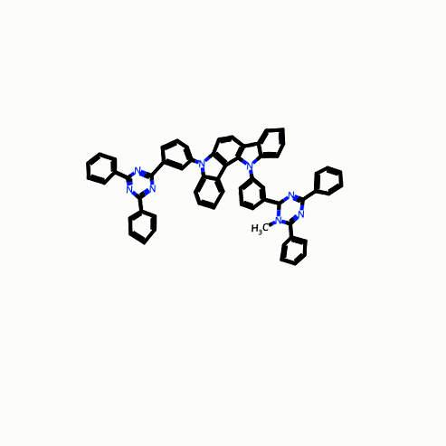 CN1C(c2ccccc2)=NC(c2ccccc2)=NC1c1cccc(-n2c3ccccc3c3ccc4c(c5ccccc5n4-c4cccc(-c5nc(-c6ccccc6)nc(-c6ccccc6)n5)c4)c32)c1